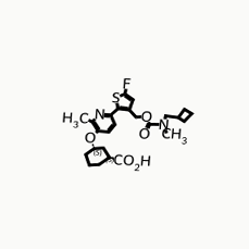 Cc1nc(-c2sc(F)cc2COC(=O)N(C)CC2CCC2)ccc1O[C@H]1CCC[C@H](C(=O)O)C1